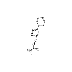 CNC(=O)OCc1cc(-c2cc[c]cc2)no1